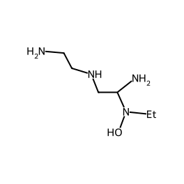 CCN(O)C(N)CNCCN